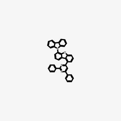 c1ccc(-c2cc(-c3cccc4oc5c(-n6c7ccccc7c7ccccc76)cccc5c34)nc(-c3ccccc3)n2)cc1